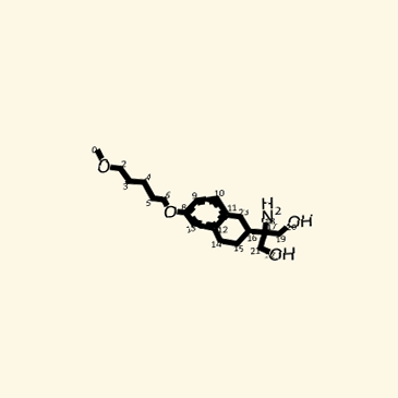 COCCCCCOc1ccc2c(c1)CCC(C(N)(CO)CO)C2